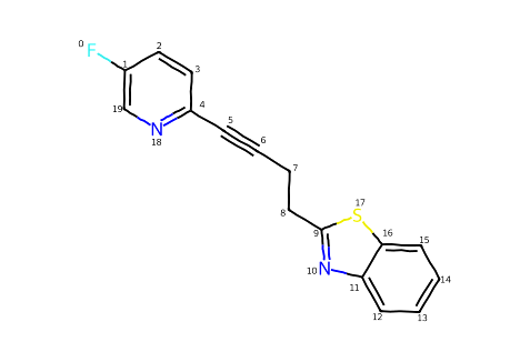 Fc1ccc(C#CCCc2nc3ccccc3s2)nc1